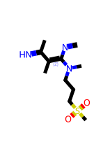 C=N/C(=C(/C)C(C)=N)N(C)CCCS(C)(=O)=O